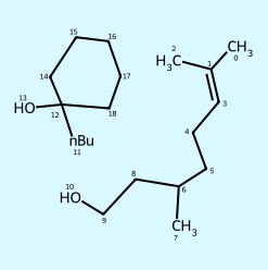 CC(C)=CCCC(C)CCO.CCCCC1(O)CCCCC1